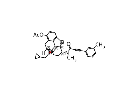 CC(=O)Oc1ccc2c3c1C[C@@H]1[C@@H]4CC[C@H](N(C)C(=O)C#Cc5cccc(C)c5)[C@H](O2)[C@]34CCN1CC1CC1